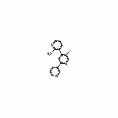 Nc1ncccc1-c1cc(-c2cccnc2)ncc1Cl